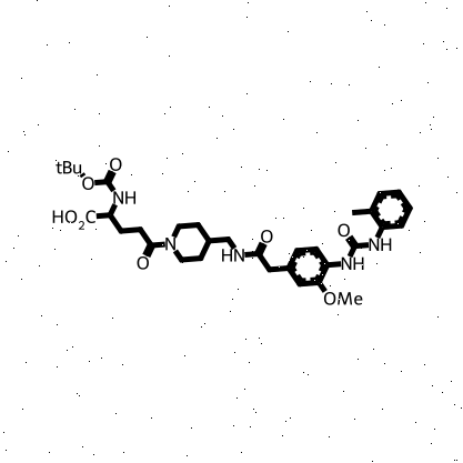 COc1cc(CC(=O)NCC2CCN(C(=O)CCC(NC(=O)OC(C)(C)C)C(=O)O)CC2)ccc1NC(=O)Nc1ccccc1C